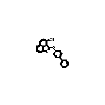 Cc1ccc2cccc3c2c1C(Oc1ccc(-c2ccccc2)cc1)O3